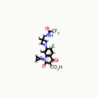 Cc1c(N2CC(C)(CNC(=O)C(F)(F)F)C2)c(F)cc2c1N(C1CC1)C(=O)C(C(=O)O)C2=O